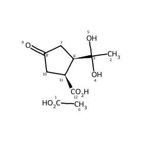 CC(=O)O.CC(O)(O)[C@@H]1CC(=O)C[C@@H]1C(=O)O